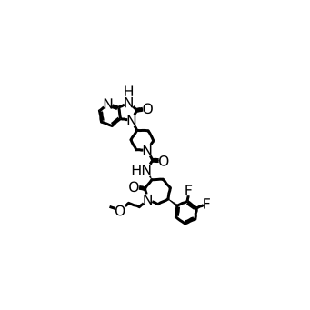 COCCN1C[C@H](c2cccc(F)c2F)CC[C@@H](NC(=O)N2CCC(n3c(=O)[nH]c4ncccc43)CC2)C1=O